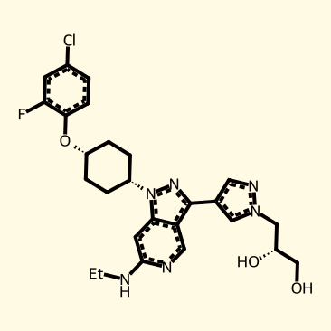 CCNc1cc2c(cn1)c(-c1cnn(C[C@@H](O)CO)c1)nn2[C@H]1CC[C@@H](Oc2ccc(Cl)cc2F)CC1